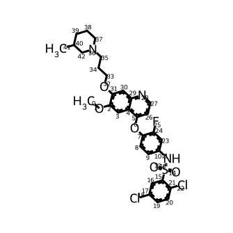 COc1cc2c(Oc3ccc(NS(=O)(=O)c4cc(Cl)ccc4Cl)cc3F)ccnc2cc1OCCCN1CCCC(C)C1